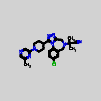 Cc1cncc(N2CCC(c3nnc4n3-c3ccc(Cl)cc3CN(C(C)(C)C#N)C4)CC2)n1